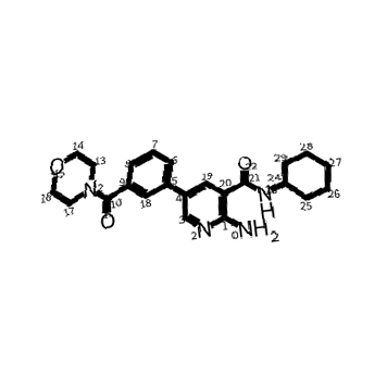 Nc1ncc(-c2cccc(C(=O)N3CCOCC3)c2)cc1C(=O)NC1CCCCC1